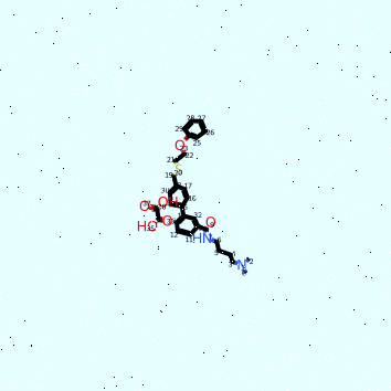 CN(C)CCCCNC(=O)c1cccc(-c2ccc(CSCCOc3ccccc3)cc2)c1.O=C(O)C(=O)O